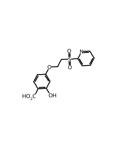 O=C(O)c1ccc(OCCS(=O)(=O)c2ccccn2)cc1O